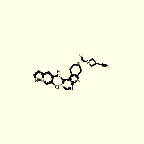 N#CC1CN(C(=O)[C@H]2CCc3c(sc4ncnc(Nc5cc6ccnn6cc5Cl)c34)C2)C1